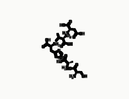 CC(C)[C@H](N)C(=O)O.C[C@H](N)C(=O)O.N[C@@H](CC(=O)O)C(=O)O.N[C@@H](CO)C(=O)O.N[C@@H](Cc1c[nH]cn1)C(=O)O